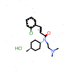 CN(C)CCN(C(=O)/C=C/c1ccccc1Cl)[C@H]1CC[C@H](C)CC1.Cl